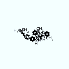 COc1ccccc1Oc1nc(Nc2ccc(N3CCN(CCCN(C)C)CC3)cc2)ncc1C(=O)Nc1c(C)cccc1C